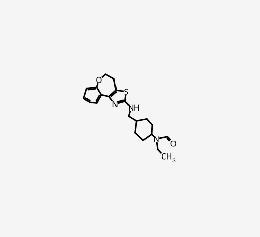 CCN(C=O)C1CCC(CNc2nc3c(s2)CCOc2ccccc2-3)CC1